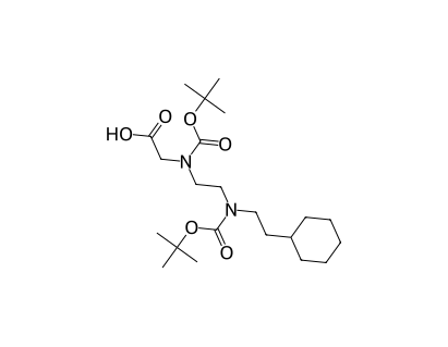 CC(C)(C)OC(=O)N(CCC1CCCCC1)CCN(CC(=O)O)C(=O)OC(C)(C)C